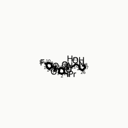 CC(C)c1ccc(S(=O)(=O)c2ccc(F)cc2)cc1S(=O)(=O)NCC(O)c1ccccn1